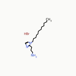 Br.CCCCCCCCCCCCn1ccnc1CCCN